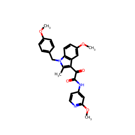 COc1ccc(Cn2c(C)c(C(=O)C(=O)Nc3ccnc(OC)c3)c3cc(OC)ccc32)cc1